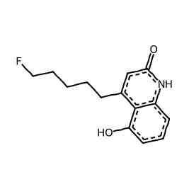 O=c1cc(CCCCCF)c2c(O)cccc2[nH]1